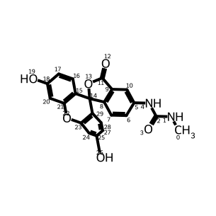 CNC(=O)Nc1ccc2c(c1)C(=O)OC21c2ccc(O)cc2Oc2cc(O)ccc21